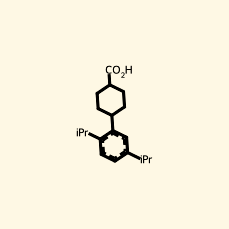 CC(C)c1ccc(C(C)C)c(C2CCC(C(=O)O)CC2)c1